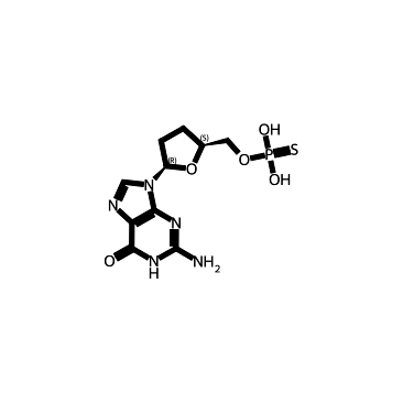 Nc1nc2c(ncn2[C@H]2CC[C@@H](COP(O)(O)=S)O2)c(=O)[nH]1